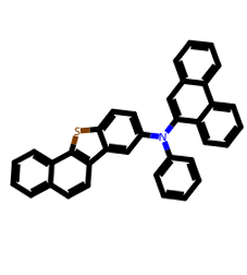 c1ccc(N(c2ccc3sc4c5ccccc5ccc4c3c2)c2cc3ccccc3c3ccccc23)cc1